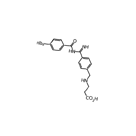 CCCCc1ccc(C(=O)NC(=N)c2ccc(CNCCC(=O)O)cc2)cc1